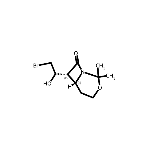 CC1(C)OCC[C@@H]2[C@H](C(O)CBr)C(=O)N21